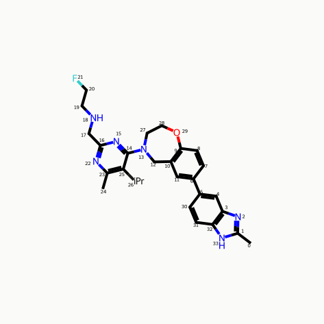 Cc1nc2cc(-c3ccc4c(c3)CN(c3nc(CNCCF)nc(C)c3C(C)C)CCO4)ccc2[nH]1